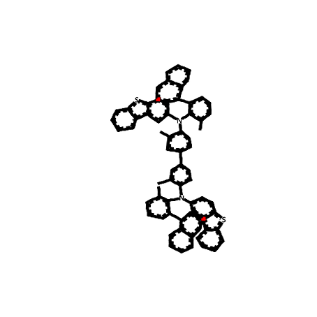 Cc1cc(-c2ccc(N(c3ccc4sc5ccccc5c4c3)c3c(C)cccc3-c3cccc4ccccc34)c(C)c2)ccc1N(c1ccc2sc3ccccc3c2c1)c1c(C)cccc1-c1cccc2ccccc12